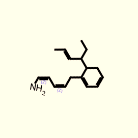 CC=CC(CC)C1CC=CC=C1C/C=C\C=C/N